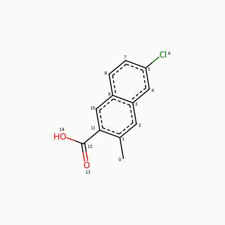 Cc1cc2cc(Cl)ccc2cc1C(=O)O